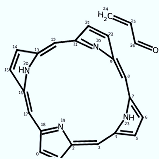 C1=Cc2cc3ccc(cc4nc(cc5ccc(cc1n2)[nH]5)C=C4)[nH]3.C=CC=O